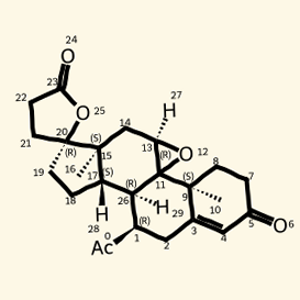 CC(=O)[C@@H]1CC2=CC(=O)CC[C@]2(C)C23O[C@@H]2C[C@@]2(C)[C@@H](CC[C@@]24CCC(=O)O4)[C@H]13